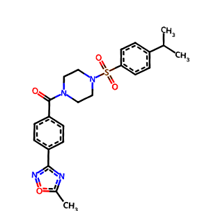 Cc1nc(-c2ccc(C(=O)N3CCN(S(=O)(=O)c4ccc(C(C)C)cc4)CC3)cc2)no1